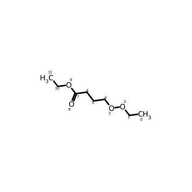 CCOOCCCC(=O)OCC